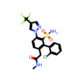 CNC(=O)Cc1ccc(-n2cc(C(F)(F)F)cn2)c(S(N)(=O)=O)c1-c1ccccc1Cl